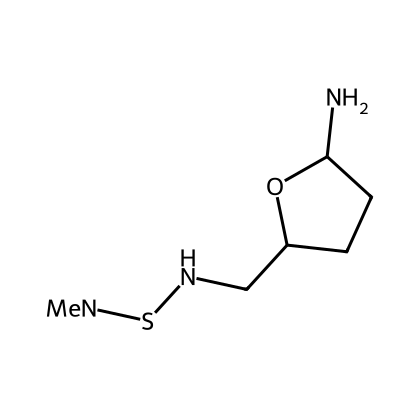 CNSNCC1CCC(N)O1